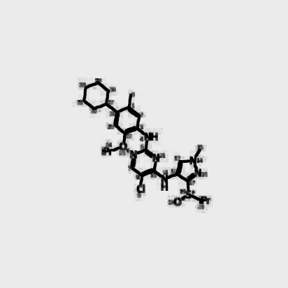 Cc1cc(Nc2ncc(Cl)c(Nc3cn(C)nc3[S+]([O-])C(C)C)n2)c(OC(C)C)cc1C1CCCCC1